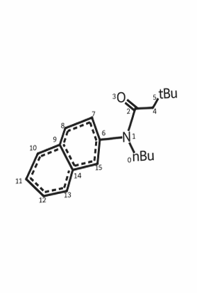 CCCCN(C(=O)CC(C)(C)C)c1ccc2ccccc2c1